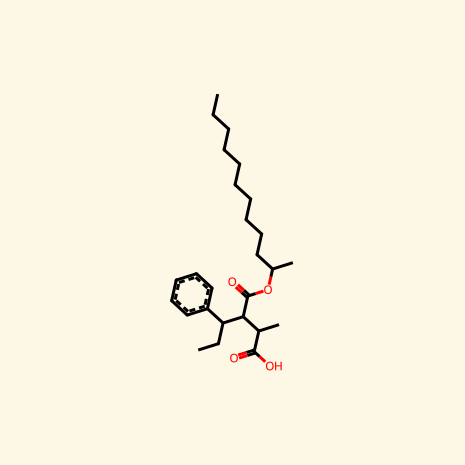 CCCCCCCCCCC(C)OC(=O)C(C(C)C(=O)O)C(CC)c1ccccc1